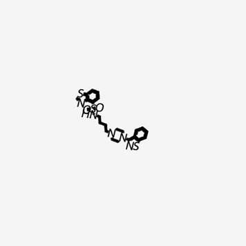 O=S(=O)(NCCCCN1CCN(c2nsc3ccccc23)CC1)c1cccc2scnc12